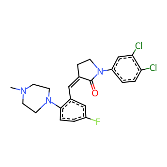 CN1CCN(c2ccc(F)cc2C=C2CCN(c3ccc(Cl)c(Cl)c3)C2=O)CC1